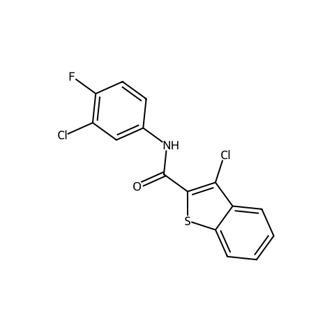 O=C(Nc1ccc(F)c(Cl)c1)c1sc2ccccc2c1Cl